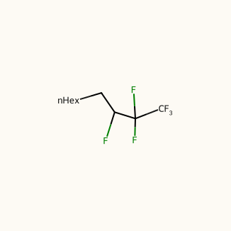 CCCCCCCC(F)C(F)(F)C(F)(F)F